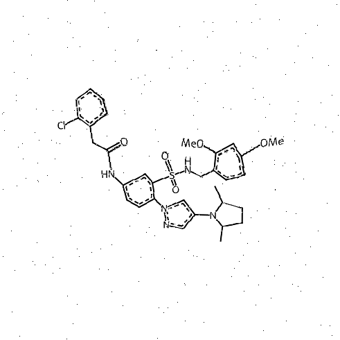 COc1ccc(CNS(=O)(=O)c2cc(NC(=O)Cc3ccccc3Cl)ccc2-n2cc(N3C(C)CCC3C)cn2)c(OC)c1